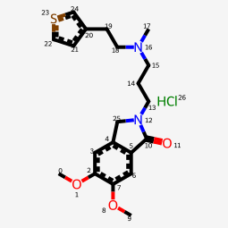 COc1cc2c(cc1OC)C(=O)N(CCCN(C)CCc1ccsc1)C2.Cl